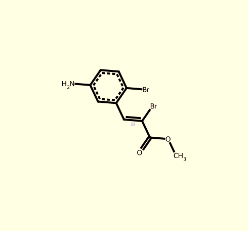 COC(=O)/C(Br)=C/c1cc(N)ccc1Br